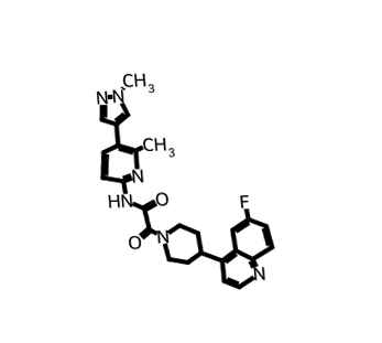 Cc1nc(NC(=O)C(=O)N2CCC(c3ccnc4ccc(F)cc34)CC2)ccc1-c1cnn(C)c1